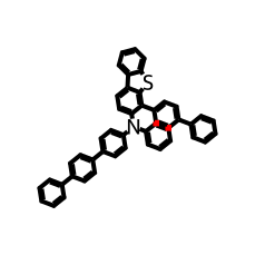 c1ccc(-c2ccc(-c3ccc(N(c4ccccc4)c4ccc5c(sc6ccccc65)c4-c4ccc(-c5ccccc5)cc4)cc3)cc2)cc1